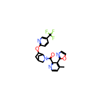 Cc1ccnc(C(=O)N2CC3CC(Oc4ccc(C(F)(F)F)cn4)C2C3)c1-c1ncco1